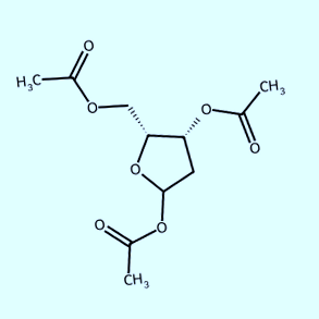 CC(=O)OC[C@H]1OC(OC(C)=O)C[C@H]1OC(C)=O